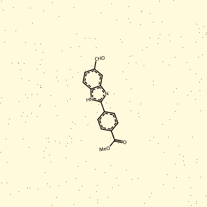 COC(=O)c1ccc(-c2nc3cc(C=O)ccc3[nH]2)cc1